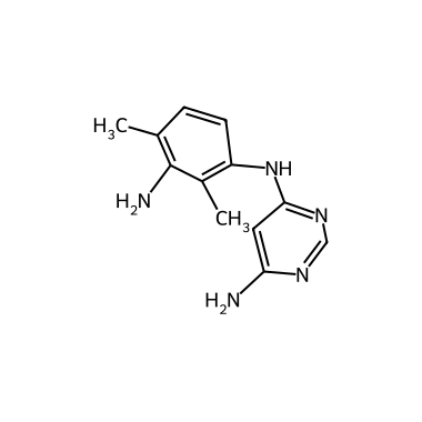 Cc1ccc(Nc2cc(N)ncn2)c(C)c1N